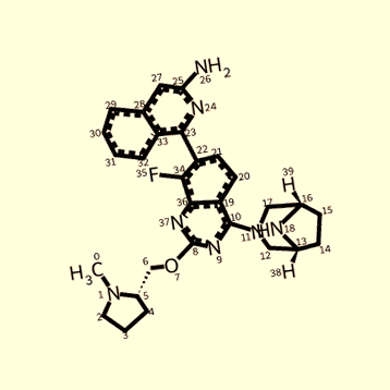 CN1CCC[C@H]1COc1nc(N2C[C@H]3CC[C@@H](C2)N3)c2ccc(-c3nc(N)cc4ccccc34)c(F)c2n1